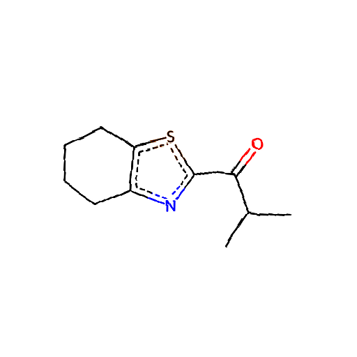 CC(C)C(=O)c1nc2c(s1)CCCC2